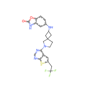 O=c1[nH]c2cc(NC3CC4(CCN(c5ncnc6sc(CC(F)(F)F)cc56)C4)C3)ccc2o1